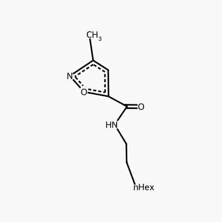 CCCCCCCCNC(=O)c1cc(C)no1